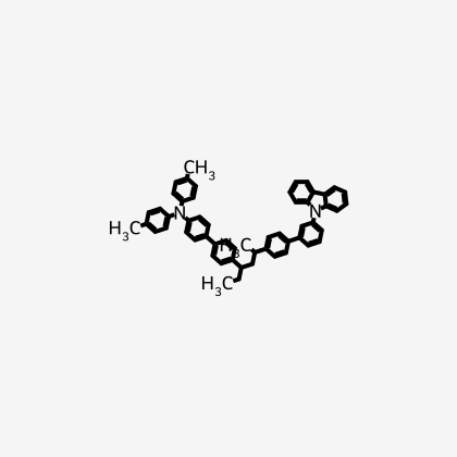 CCC(CC(C)c1ccc(-c2cccc(-n3c4ccccc4c4ccccc43)c2)cc1)c1ccc(-c2ccc(N(c3ccc(C)cc3)c3ccc(C)cc3)cc2)cc1